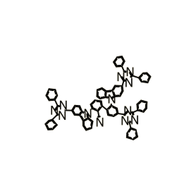 N#Cc1c(-c2ccc(-c3nc(-c4ccccc4)nc(-c4ccccc4)n3)cc2-n2c3ccccc3c3cc(-c4nc(-c5ccccc5)nc(-c5ccccc5)n4)ccc32)cccc1-n1c2ccccc2c2cc(-c3nc(-c4ccccc4)nc(-c4ccccc4)n3)ccc21